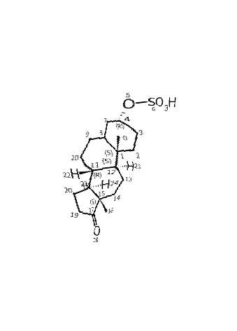 C[C@]12CC[C@@H](OS(=O)(=O)O)CC1CC[C@@H]1[C@@H]2CC[C@]2(C)C(=O)CC[C@@H]12